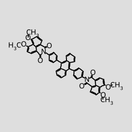 COc1ccc2c3c(ccc(OC)c13)C(=O)N(c1ccc(-c3c4ccccc4c(-c4ccc(N5C(=O)c6ccc(OC)c7c(OC)ccc(c67)C5=O)cc4)c4ccccc34)cc1)C2=O